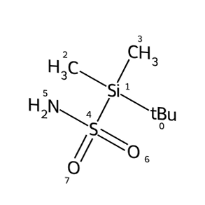 CC(C)(C)[Si](C)(C)S(N)(=O)=O